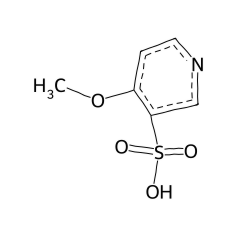 COc1ccncc1S(=O)(=O)O